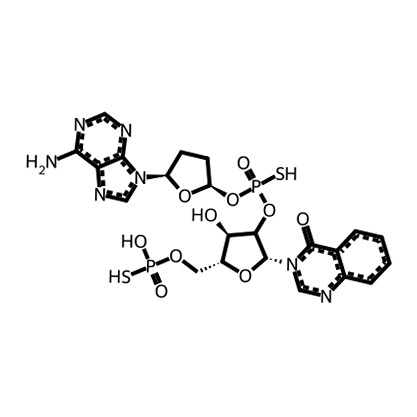 Nc1ncnc2c1ncn2[C@H]1CC[C@@H](OP(=O)(S)OC2[C@H](n3cnc4ccccc4c3=O)O[C@H](COP(=O)(O)S)[C@H]2O)O1